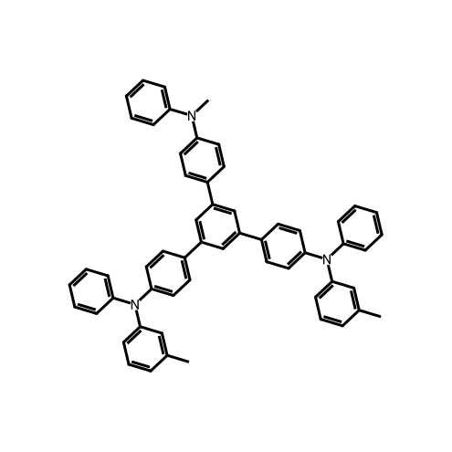 Cc1cccc(N(c2ccccc2)c2ccc(-c3cc(-c4ccc(N(C)c5ccccc5)cc4)cc(-c4ccc(N(c5ccccc5)c5cccc(C)c5)cc4)c3)cc2)c1